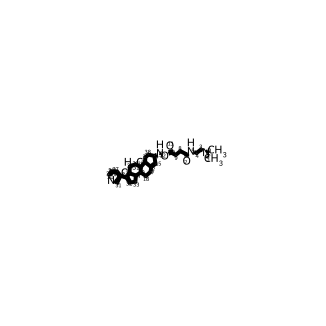 CN(C)CCNC(=O)CCC(=O)ONC1C=C2CCC3C(CCC4(C)C(c5cccnc5)=CCC34)C2(C)CC1